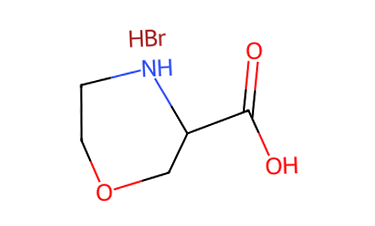 Br.O=C(O)C1COCCN1